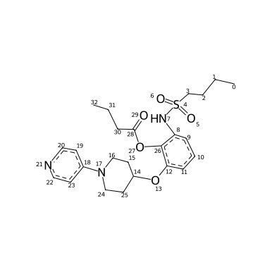 CCCCS(=O)(=O)Nc1cccc(OC2CCN(c3ccncc3)CC2)c1OC(=O)CCC